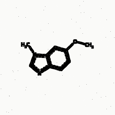 COc1ccc2ncn(C)c2c1